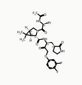 CC(C)[C@H](NC(=O)C(F)(F)F)C(=O)N1C[C@H]2[C@@H]([C@H]1C(=O)N[C@@H](C[C@@H]1CCNC1=O)C(=O)COc1ccc(F)c(F)c1)C2(C)C